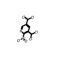 O=[N+]([O-])c1ncc(C(Cl)Cl)cc1C(Cl)Cl